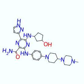 CN1CCN(C2CCN(c3ccc(Nc4nc(NC5CCC(O)C5)c(-c5cc[nH]n5)nc4C(N)=O)cc3)CC2)CC1